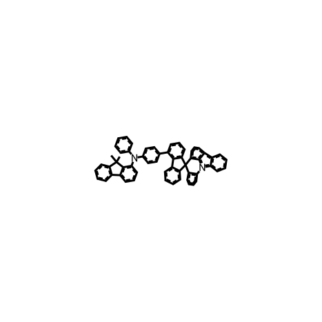 CC1(C)c2ccccc2-c2cccc(N(c3ccccc3)c3ccc(-c4cccc5c4-c4ccccc4C54c5ccccc5-n5c6ccccc6c6cccc4c65)cc3)c21